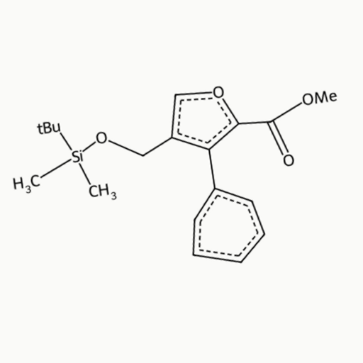 COC(=O)c1occ(CO[Si](C)(C)C(C)(C)C)c1-c1ccccc1